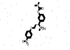 CN[C@H](CCOc1ccc([N+](=O)[O-])cc1)c1cccc(OC(=O)N(C)C)c1.Cl